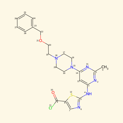 Cc1nc(Nc2ncc(C(=O)Cl)s2)cc(N2CCN(CCOCc3ccccc3)CC2)n1